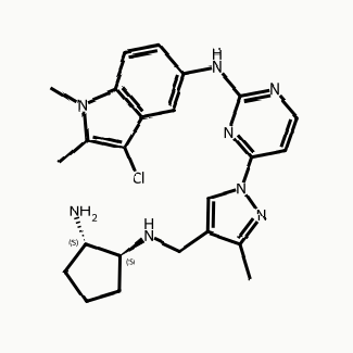 Cc1nn(-c2ccnc(Nc3ccc4c(c3)c(Cl)c(C)n4C)n2)cc1CN[C@H]1CCC[C@@H]1N